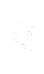 COc1ccc(-c2ccc(C(=O)NCC(C)(C)CN)cc2C(=O)O)c(C(=O)Nc2ccc(C(=N)N)cc2)n1